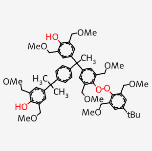 COCc1cc(C(C)(C)c2ccc(C(C)(c3cc(COC)c(O)c(COC)c3)c3cc(COC)c(OOc4c(COC)cc(C(C)(C)C)cc4COC)c(COC)c3)cc2)cc(COC)c1O